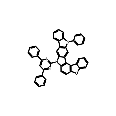 c1ccc(-c2cc(-c3ccccc3)nc(-n3c4cc5c6ccccc6n(-c6ccccc6)c5cc4c4c5c(ccc43)oc3ccccc35)n2)cc1